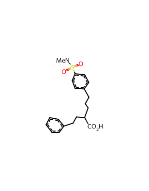 CNS(=O)(=O)c1ccc(CCCC(CCc2ccccc2)C(=O)O)cc1